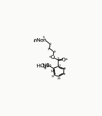 CCCCCCCCCCCCOC(=O)c1ccccc1C(=O)O.[Na]